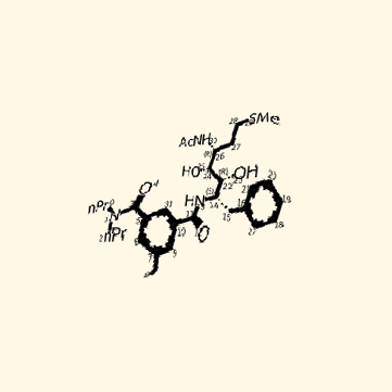 CCCN(CCC)C(=O)c1cc(C)cc(C(=O)N[C@@H](Cc2ccccc2)[C@@H](O)[C@H](O)[C@@H](CCSC)NC(C)=O)c1